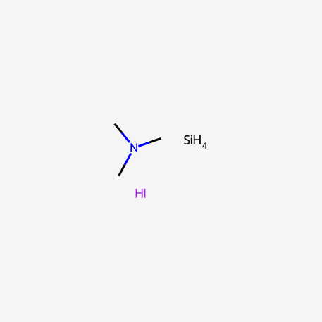 CN(C)C.I.[SiH4]